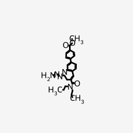 CCCN(CCC)C(=O)C1=Cc2ccc(-c3ccc(C(=O)OC)cc3)cc2N=C(N=NN)C1